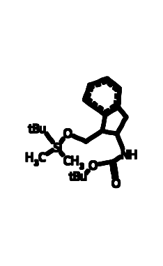 CC(C)(C)OC(=O)NC1Cc2ccccc2C1CO[Si](C)(C)C(C)(C)C